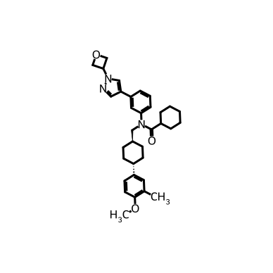 COc1ccc([C@H]2CC[C@H](CN(C(=O)C3CCCCC3)c3cccc(-c4cnn(C5COC5)c4)c3)CC2)cc1C